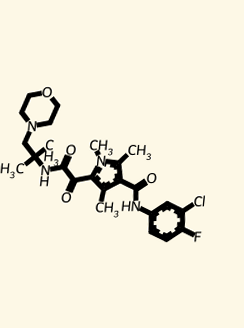 Cc1c(C(=O)Nc2ccc(F)c(Cl)c2)c(C)n(C)c1C(=O)C(=O)NC(C)(C)CN1CCOCC1